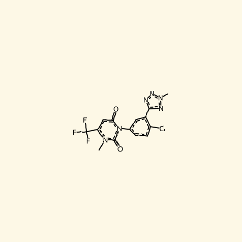 Cn1nnc(-c2cc(-n3c(=O)cc(C(F)(F)F)n(C)c3=O)ccc2Cl)n1